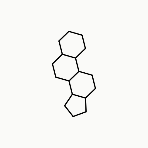 C1CCC2C(C1)CCC1C3CCCC3CCC21